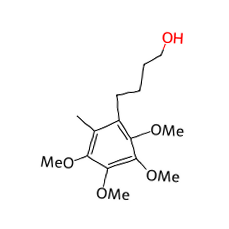 COc1c(C)c(CCCCO)c(OC)c(OC)c1OC